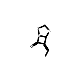 CC=C1C(=O)N2S[C]SC12